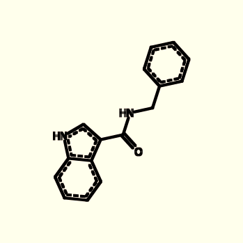 O=C(NCc1ccccc1)c1c[nH]c2ccccc12